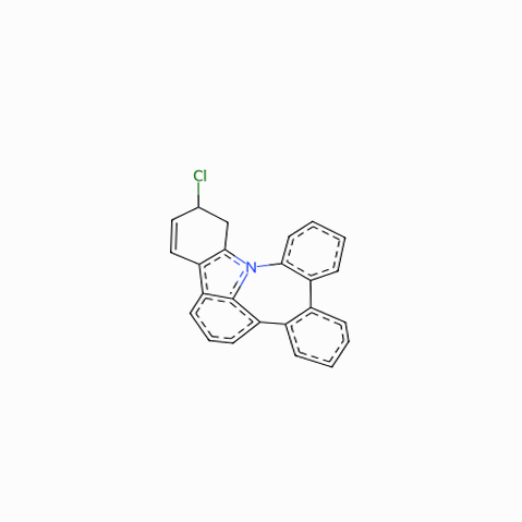 ClC1C=Cc2c(n3c4c(cccc24)-c2ccccc2-c2ccccc2-3)C1